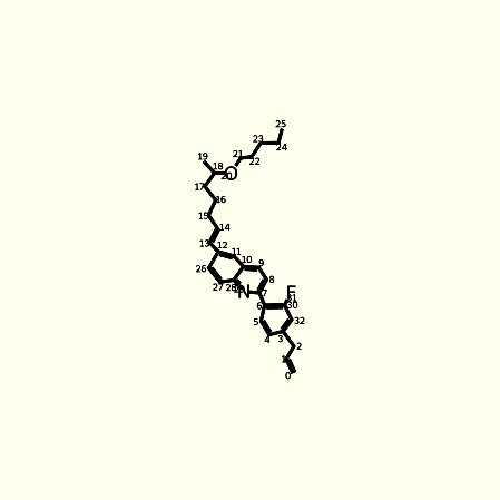 C=CCc1ccc(-c2ccc3cc(C=CCCCC(C)OCCCCC)ccc3n2)c(F)c1